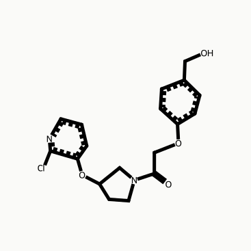 O=C(COc1ccc(CO)cc1)N1CCC(Oc2cccnc2Cl)C1